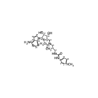 Cc1ccc(NC(=O)NCCCN(C[C@H]2O[C@@H](n3ccc4c(N)ncnc43)[C@H](O)[C@@H]2O)C(C)C)cc1